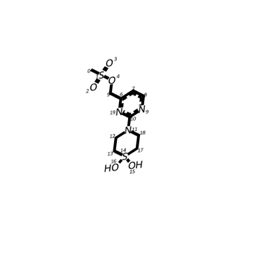 CS(=O)(=O)OCc1ccnc(N2CCS(O)(O)CC2)n1